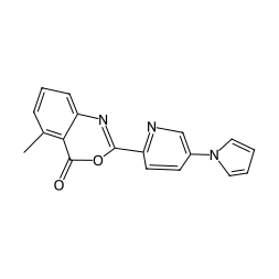 Cc1cccc2nc(-c3ccc(-n4cccc4)cn3)oc(=O)c12